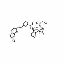 CC(C)(O)c1ccccc1CCC(SCOC(=O)CC1CC1)c1cccc(C=Cc2ccc3ccc(Cl)cc3n2)c1